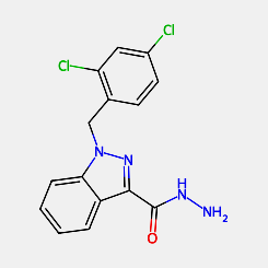 NNC(=O)c1nn(Cc2ccc(Cl)cc2Cl)c2ccccc12